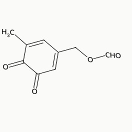 CC1=CC(COC=O)=CC(=O)C1=O